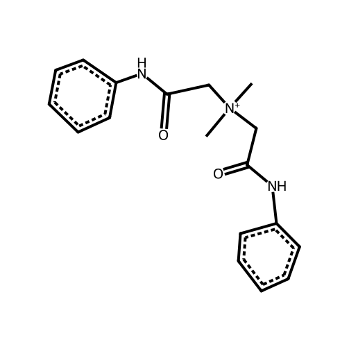 C[N+](C)(CC(=O)Nc1ccccc1)CC(=O)Nc1ccccc1